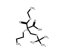 CCCC[C@@](CSC(C)(C)C)(C(=O)O)C(=O)OCC